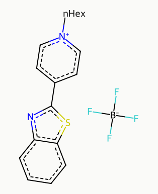 CCCCCC[n+]1ccc(-c2nc3ccccc3s2)cc1.F[B-](F)(F)F